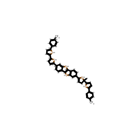 CC1(c2ccc(-c3ccc(C(F)(F)F)cc3)s2)CC=C(c2ccc3c(c2)sc2c4ccc(-c5ccc(-c6ccc(-c7ccc(C(F)(F)F)cc7)s6)s5)cc4sc32)S1